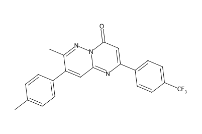 Cc1ccc(-c2cc3nc(-c4ccc(C(F)(F)F)cc4)cc(=O)n3nc2C)cc1